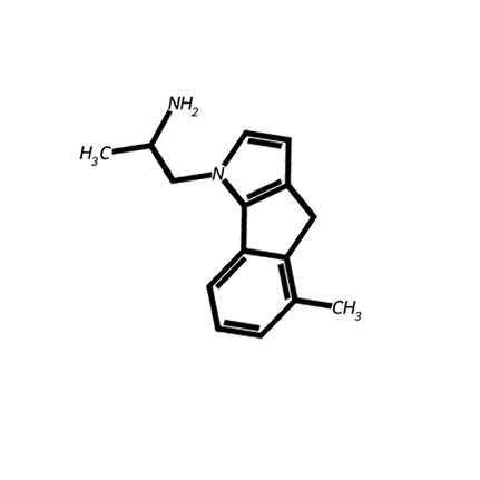 Cc1cccc2c1Cc1ccn(CC(C)N)c1-2